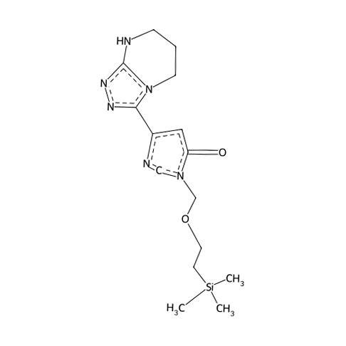 C[Si](C)(C)CCOCn1cnc(-c2nnc3n2CCCN3)cc1=O